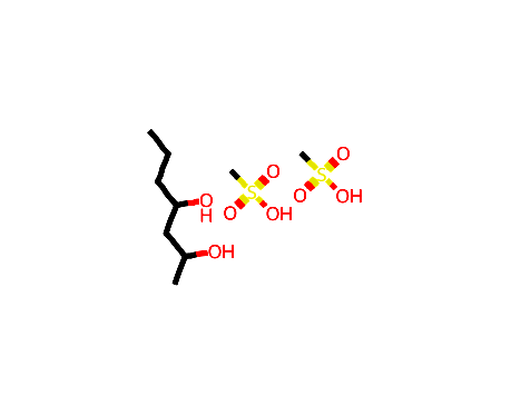 CCCC(O)CC(C)O.CS(=O)(=O)O.CS(=O)(=O)O